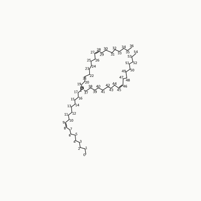 CCCCCCCC/C=C\CCCCCCCCP(CCCCCCCC/C=C\CCCCCCCC)CCCCCCCC/C=C\CCCCCCCC